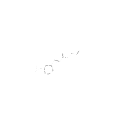 C=CCOC(=O)/C=C/c1cccc([N+](=O)[O-])c1